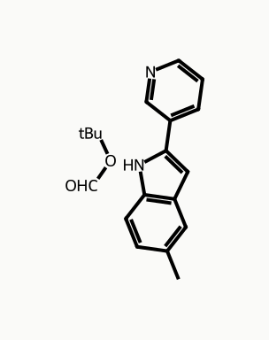 CC(C)(C)OC=O.Cc1ccc2[nH]c(-c3cccnc3)cc2c1